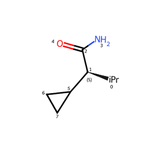 CC(C)[C@H](C(N)=O)C1CC1